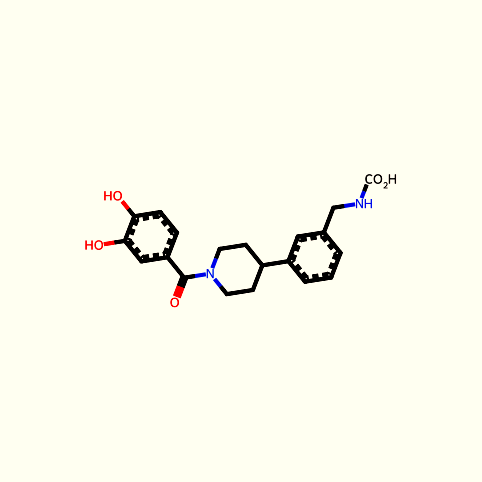 O=C(O)NCc1cccc(C2CCN(C(=O)c3ccc(O)c(O)c3)CC2)c1